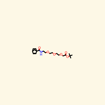 CC(C)(C)OC(=O)COCCOCCOCCNC(=O)C12C=CC(CC1)C2